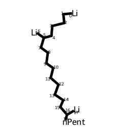 [Li][CH2]CCC[CH]([Li])CCCCCCCCC[CH]([Li])CCCCC